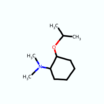 CC(C)OC1CCCCC1N(C)C